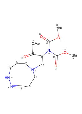 COC(=O)C(CN1CC/C=N\NCCC1)N(C(=O)OC(C)(C)C)C(=O)OC(C)(C)C